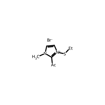 CCS[n+]1ccn(C)c1C(C)=O.[Br-]